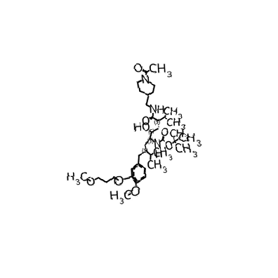 COCCCOc1cc(C[C@@H](C[C@H](NC(=O)OC(C)(C)C)[C@@H](O)C[C@H](C(=O)NCC2CCN(C(C)=O)CC2)C(C)C)C(C)C)ccc1OC